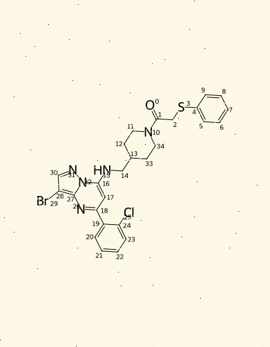 O=C(CSc1ccccc1)N1CCC(CNc2cc(-c3ccccc3Cl)nc3c(Br)cnn23)CC1